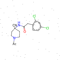 CC(=O)N1CCC(C#N)(NC(=O)Cc2ccc(Cl)cc2Cl)CC1